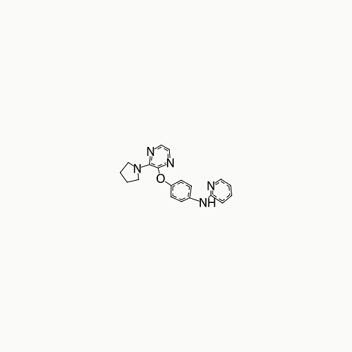 c1ccc(Nc2ccc(Oc3nccnc3N3CCCC3)cc2)nc1